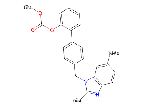 CCCCc1nc2ccc(NC)cc2n1Cc1ccc(-c2ccccc2OC(=O)OC(C)(C)C)cc1